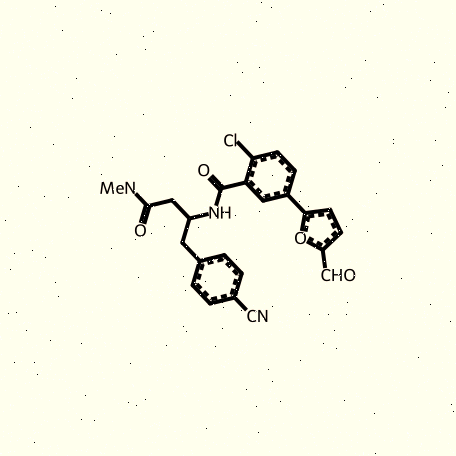 CNC(=O)CC(Cc1ccc(C#N)cc1)NC(=O)c1cc(-c2ccc(C=O)o2)ccc1Cl